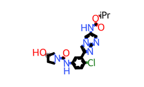 CC(C)OC(=O)Nc1cnc2nc(-c3cc(NC(=O)N4CC[C@@H](O)C4)ccc3Cl)cn2c1